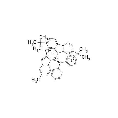 CC1=Cc2cc(C)ccc2[CH]1[Zr](=[C](c1ccccc1)c1ccccc1)[CH]1c2cc(C(C)(C)C)ccc2-c2ccc(C(C)(C)C)cc21